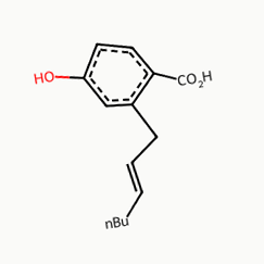 CCCCC=CCc1cc(O)ccc1C(=O)O